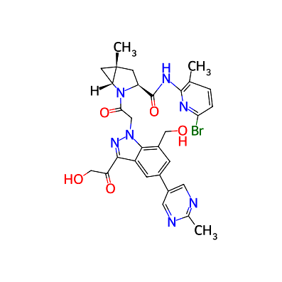 Cc1ncc(-c2cc(CO)c3c(c2)c(C(=O)CO)nn3CC(=O)N2[C@H](C(=O)Nc3nc(Br)ccc3C)C[C@@]3(C)C[C@@H]23)cn1